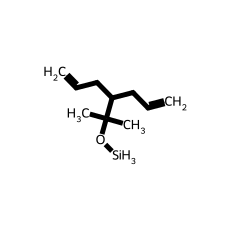 C=CCC(CC=C)C(C)(C)O[SiH3]